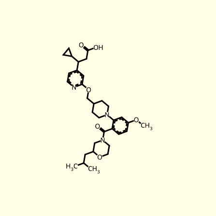 COc1ccc(C(=O)N2CCOC(CC(C)C)C2)c(N2CCC(COc3cc(C(CC(=O)O)C4CC4)ccn3)CC2)c1